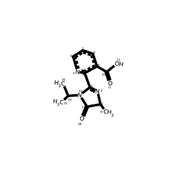 CC1N=C(c2ncccc2C(=O)O)N(C(C)C)C1=O